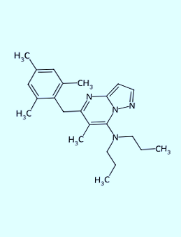 CCCN(CCC)c1c(C)c(Cc2c(C)cc(C)cc2C)nc2ccnn12